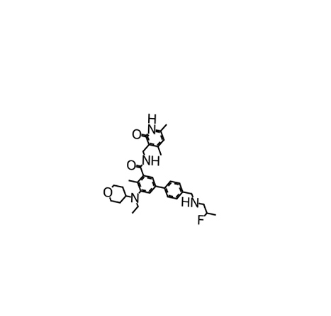 CCN(c1cc(-c2ccc(CNCC(C)F)cc2)cc(C(=O)NCc2c(C)cc(C)[nH]c2=O)c1C)C1CCOCC1